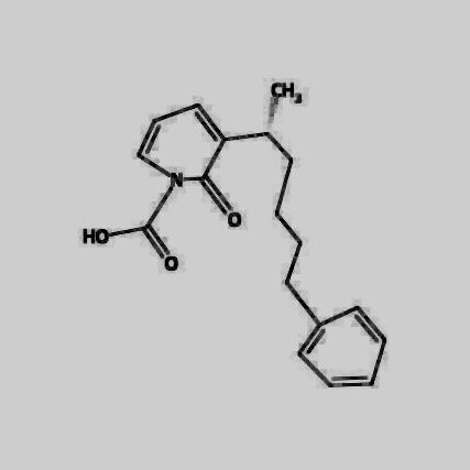 C[C@H](CCCCc1ccccc1)c1cccn(C(=O)O)c1=O